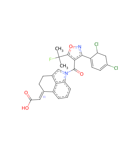 CC(C)(F)c1onc(C2=CC=C(Cl)CC2Cl)c1C(=O)n1cc2c3c(cccc31)/C(=C/C(=O)O)CC2